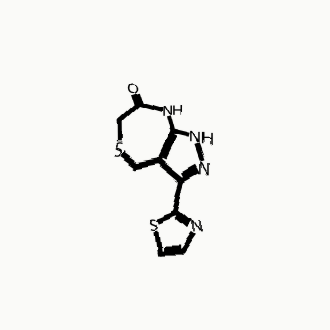 O=C1CSCc2c(-c3nccs3)n[nH]c2N1